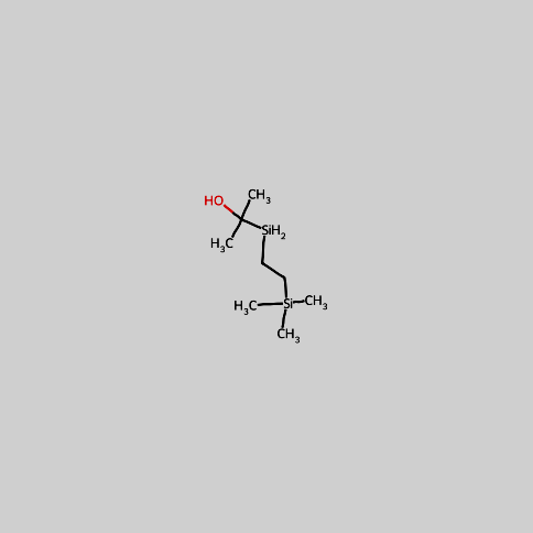 CC(C)(O)[SiH2]CC[Si](C)(C)C